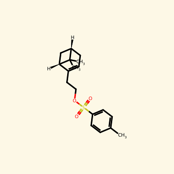 Cc1ccc(S(=O)(=O)OCCC2=CC[C@H]3C[C@@H]2C3(C)C)cc1